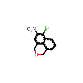 O=[N+]([O-])c1cc2c3c(cccc3c1Br)COC2